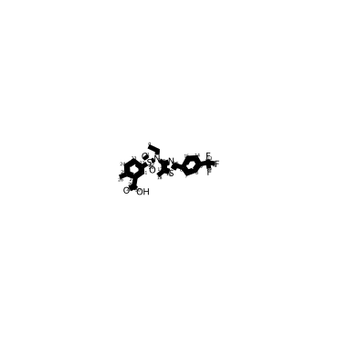 CCN(c1nc(-c2ccc(C(F)(F)F)cc2)sc1C)S(=O)(=O)c1ccc(C)c(C(=O)O)c1